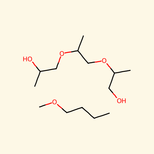 CC(O)COC(C)COC(C)CO.CCCCOC